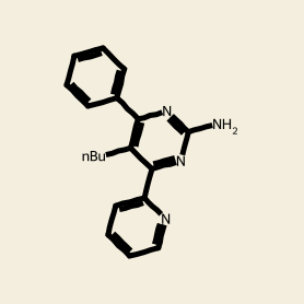 CCCCc1c(-c2ccccc2)nc(N)nc1-c1ccccn1